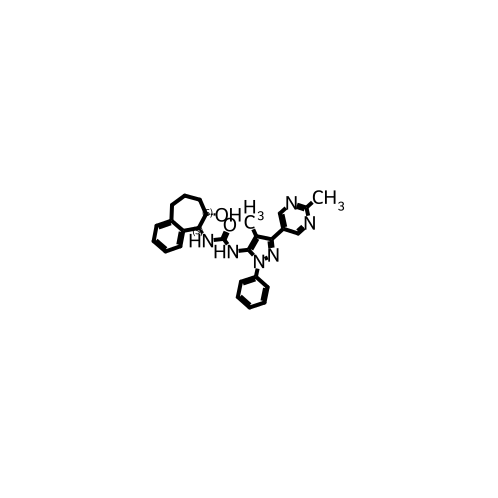 Cc1ncc(-c2nn(-c3ccccc3)c(NC(=O)N[C@H]3c4ccccc4CCC[C@@H]3O)c2C)cn1